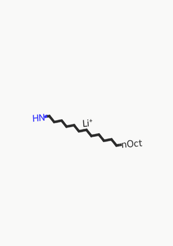 CCCCCCCCCCCCCCCCCCCC[NH-].[Li+]